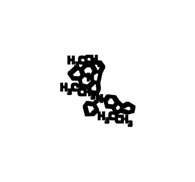 CC1(C)c2ccccc2-c2ccc(N(c3ccccc3)c3cc4c5c(c3)c3cccc6c3n5-c3c(cccc3C4(C)C)C6(C)C)cc21